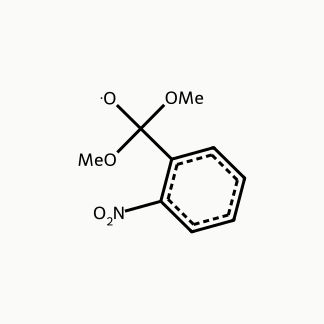 COC([O])(OC)c1ccccc1[N+](=O)[O-]